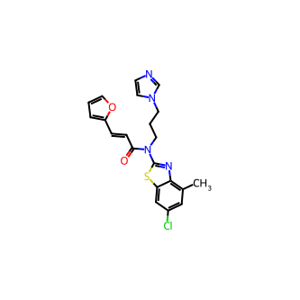 Cc1cc(Cl)cc2sc(N(CCCn3ccnc3)C(=O)/C=C/c3ccco3)nc12